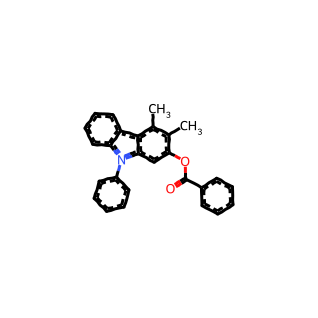 Cc1c(OC(=O)c2ccccc2)cc2c(c1C)c1ccccc1n2-c1ccccc1